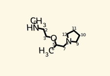 CNCCOC(C)CN1CCCC1